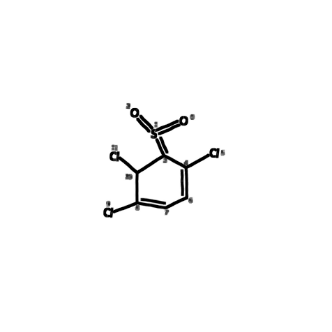 O=S(=O)=C1C(Cl)=CC=C(Cl)C1Cl